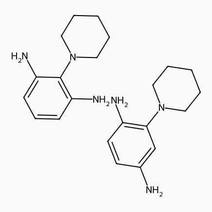 Nc1ccc(N)c(N2CCCCC2)c1.Nc1cccc(N)c1N1CCCCC1